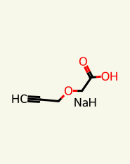 C#CCOCC(=O)O.[NaH]